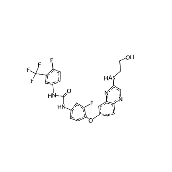 O=C(Nc1ccc(Oc2ccc3ncc([AsH]CCO)nc3c2)c(F)c1)Nc1ccc(F)c(C(F)(F)F)c1